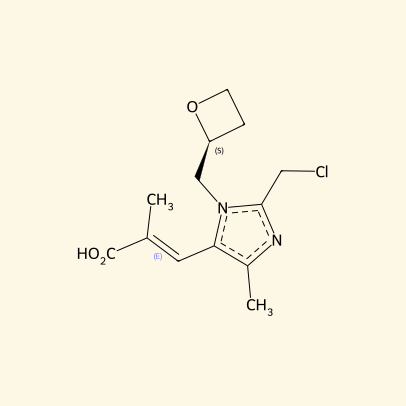 C/C(=C\c1c(C)nc(CCl)n1C[C@@H]1CCO1)C(=O)O